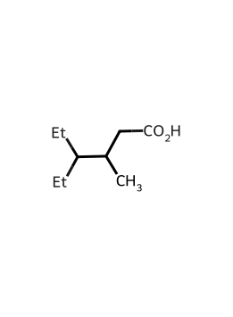 CCC(CC)C(C)CC(=O)O